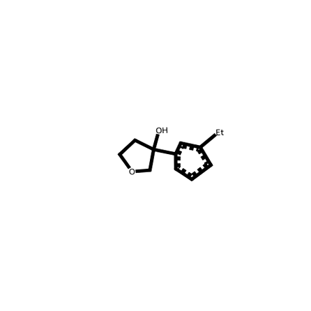 CCc1cccc(C2(O)CCOC2)c1